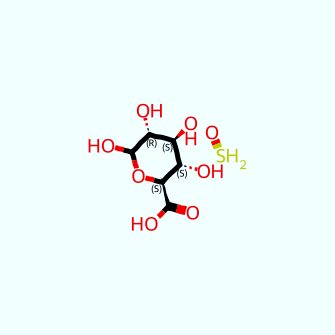 O=C(O)[C@H]1OC(O)[C@H](O)[C@@H](O)[C@@H]1O.O=[SH2]